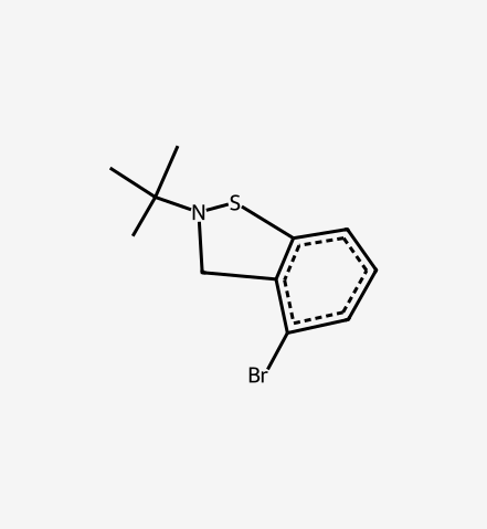 CC(C)(C)N1Cc2c(Br)cccc2S1